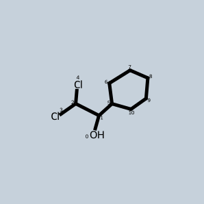 OC(C(Cl)Cl)C1CCCCC1